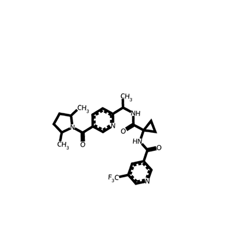 CC(NC(=O)C1(NC(=O)c2cncc(C(F)(F)F)c2)CC1)c1ccc(C(=O)N2C(C)CCC2C)cn1